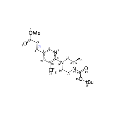 COC(=O)/C=C/c1cnc(N2CCN(C(=O)OC(C)(C)C)[C@H](C)C2)c(C(F)(F)F)c1